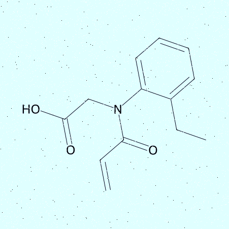 C=CC(=O)N(CC(=O)O)c1ccccc1CC